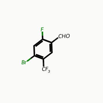 O=Cc1cc(C(F)(F)F)c(Br)cc1F